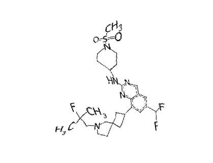 CC(C)(F)CN1CCC2(CC(c3cc(C(F)F)cc4cnc(NC5CCN(S(C)(=O)=O)CC5)nc34)C2)C1